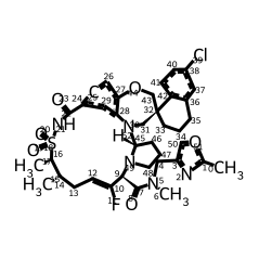 Cc1nc(CN(C)C(=O)[C@H]2/C(F)=C/C[C@H](C)[C@@H](C)S(=O)(=O)NC(=O)c3ccc4c(c3)N(C[C@@]3(CCCc5cc(Cl)ccc53)CO4)[C@@H]3CCCN23)co1